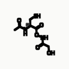 CC(=O)N[C@@H](CS)C(=O)ONC(=O)CO